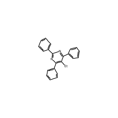 CCc1c(-c2ccccc2)nc(-c2ccccc2)nc1-c1ccccc1